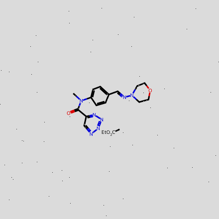 CCOC(C)=O.CN(C(=O)c1cnnnn1)c1ccc(C=NN2CCOCC2)cc1